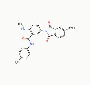 CCCNc1ccc(N2C(=O)c3ccc(C(=O)O)cc3C2=O)cc1C(=O)Nc1ccc(C)cc1